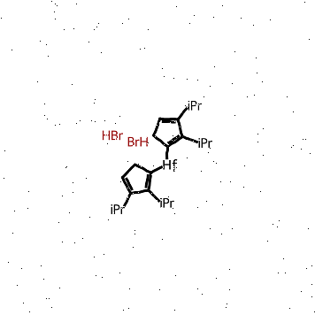 Br.Br.CC(C)C1=CC[C]([Hf][C]2=C(C(C)C)C(C(C)C)=CC2)=C1C(C)C